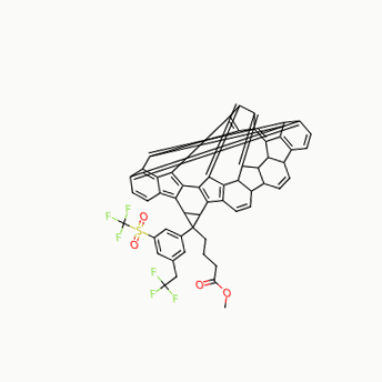 COC(=O)CCCC1(c2cc(CC(F)(F)F)cc(S(=O)(=O)C(F)(F)F)c2)C2c3c4c5c6c3c3c(c7ccc8c9ccc%10c%11c%12c%13c(c6c6c%13c(c%119)c8c7c36)=C3C5C(C=C4)C4C=CC%10C%12C34)C21